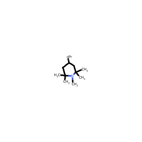 C[CH]CC1CC(C)(C)N(C)C(C)(C)C1